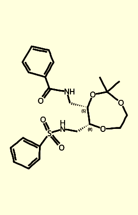 CC1(C)OCCO[C@H](CNS(=O)(=O)c2ccccc2)[C@H](CNC(=O)c2ccccc2)O1